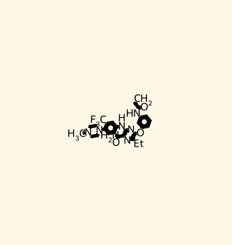 C=CC(=O)Nc1cccc(Oc2nc(Nc3ccc(N4CCN(C)CC4)c(C(F)(F)F)c3)c(C(N)=O)nc2CC)c1